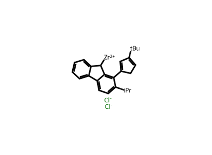 CC(C)c1ccc2c(c1C1=CC(C(C)(C)C)=CC1)[CH]([Zr+2])c1ccccc1-2.[Cl-].[Cl-]